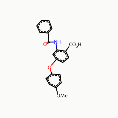 COc1ccc(Oc2ccc(C(=O)O)c(NC(=O)c3ccccc3)c2)cc1